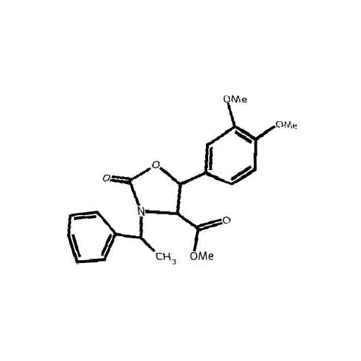 COC(=O)C1C(c2ccc(OC)c(OC)c2)OC(=O)N1C(C)c1ccccc1